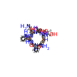 CC(O)C(CO)NC(=O)[C@@H]1CSSC[C@H](N)C(=O)NC(Cc2ccccc2)C(=O)N[C@H](Cc2c[nH]c3ccccc23)C(=O)N[C@@H](CCCCN)C(=O)N[C@@H]([C@@H](C)O)C(=O)N1